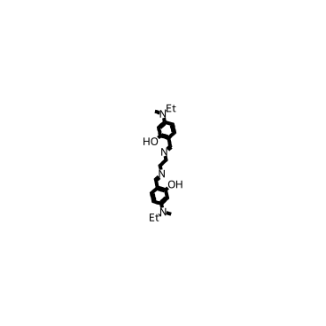 CCN(C)c1ccc(C=NCCN=Cc2ccc(N(C)CC)cc2O)c(O)c1